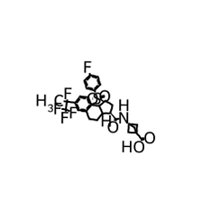 CC(F)(c1ccc2c(c1)CC[C@H]1[C@H](C(=O)NC34CC(C(=O)O)(C3)C4)CC[C@@]21S(=O)(=O)c1ccc(F)cc1)C(F)(F)F